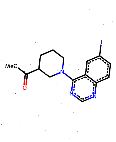 COC(=O)C1CCCN(c2ncnc3ccc(I)cc23)C1